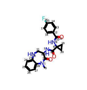 CN1C(=O)[C@H](NC(=O)C2(NC(=O)c3ccc(F)cc3)CC2)CNc2ccccc21